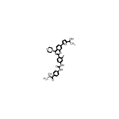 CC(O)c1ccc(-c2ccc3c(N4CCOCC4)nc(-c4ccc(NC(=O)Nc5ccc(C(=O)N(C)C)cc5)cc4F)nc3c2)o1